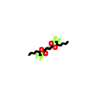 CCCCC(OC(=O)/C=C/C(=O)OC(CCCC)C(F)(F)F)C(F)(F)F